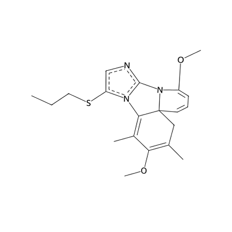 CCCSc1cnc2n1C1=C(C)C(OC)=C(C)CC13C=CC=C(OC)N23